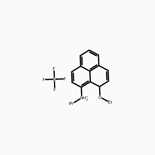 CCOC1C=Cc2cccc3ccc([NH2+]C(C)C)c1c23.F[B-](F)(F)F